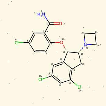 NC(=O)c1cc(Cl)ccc1O[C@H]1c2cc(Cl)cc(Cl)c2C[C@H]1N1CCC1